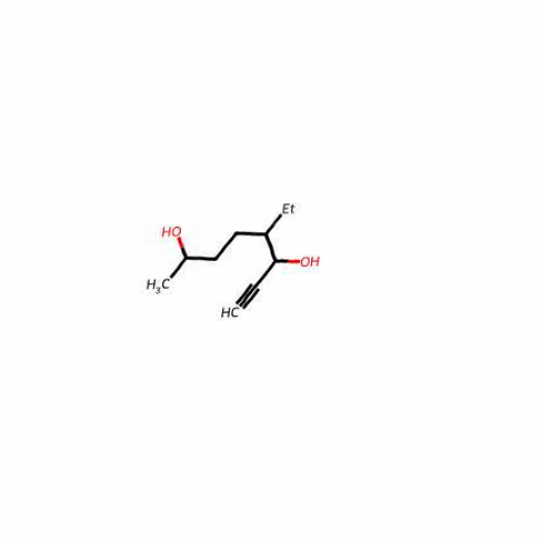 C#CC(O)C(CC)CCC(C)O